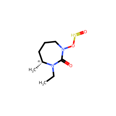 CCN1C(=O)N(O[SH]=O)CCC[C@H]1C